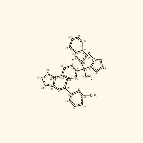 Cn1cncc1C(N)(c1ccc2c(c1)c(-c1cccc(Cl)c1)cc1nnnn12)c1cc2ccccc2o1